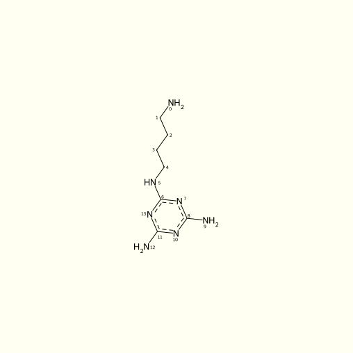 NCCCCNc1nc(N)nc(N)n1